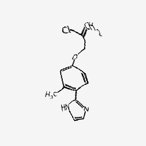 C=C(Cl)COc1ccc(-c2ncc[nH]2)c(C)c1